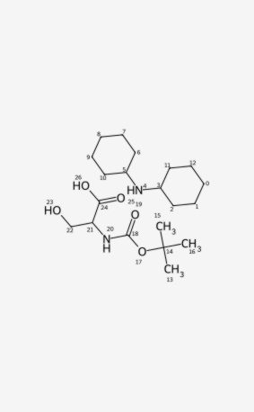 C1CCC(NC2CCCCC2)CC1.CC(C)(C)OC(=O)NC(CO)C(=O)O